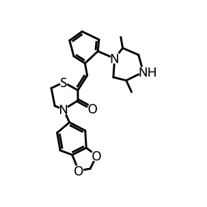 CC1CN(c2ccccc2C=C2SCCN(c3ccc4c(c3)OCO4)C2=O)C(C)CN1